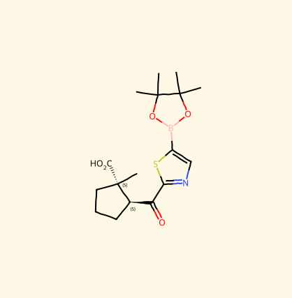 CC1(C)OB(c2cnc(C(=O)[C@H]3CCC[C@]3(C)C(=O)O)s2)OC1(C)C